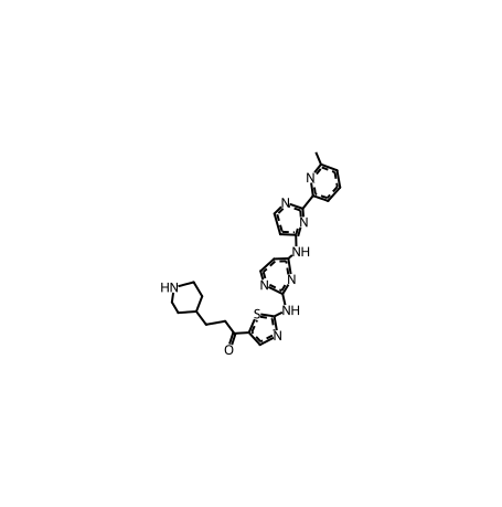 Cc1cccc(-c2nccc(Nc3ccnc(Nc4ncc(C(=O)CCC5CCNCC5)s4)n3)n2)n1